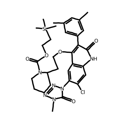 Cc1cc(C)cc(-c2c(OCCC3CCCCN3C(=O)OCC[Si](C)(C)C)c3cc(-n4nnn(C)c4=O)c(Cl)cc3[nH]c2=O)c1